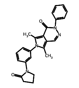 Cc1c2cnn(-c3ccccc3)c(=O)c2c(C)n1-c1cccc(N2CCCC2=O)c1